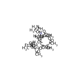 CCC1OC(=O)[C@H](C)C[C@H](C)C[C@](COC2C[C@@H](N(C)CC(C)[Si](O)(CC)CC)C[C@@H](C)O2)(OC)C[C@@H](C)C(=O)[C@H](C)[C@H]2[C@H](/C(N)=N/OC(C)PN)C(=O)O[C@@]12C